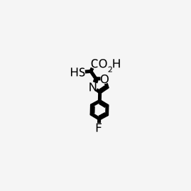 O=C(O)C(S)c1nc(-c2ccc(F)cc2)co1